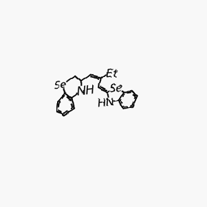 CCC(=CC1C[Se]c2ccccc2N1)C=C1Nc2ccccc2[Se]1